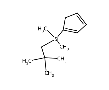 CC(C)(C)C[Si](C)(C)C1=CC=CC1